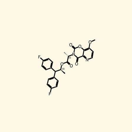 COc1ccnc2c(=O)n([C@@H](C)C(=O)O[C@@H](C)C(c3ccc(F)cc3)c3ccc(F)cc3)c(=O)oc12